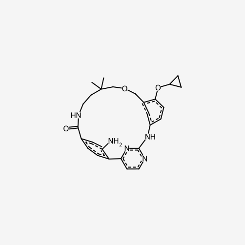 CC1(C)CCNC(=O)c2ccc(c(N)c2)-c2ccnc(n2)Nc2ccc(OC3CC3)c(c2)COC1